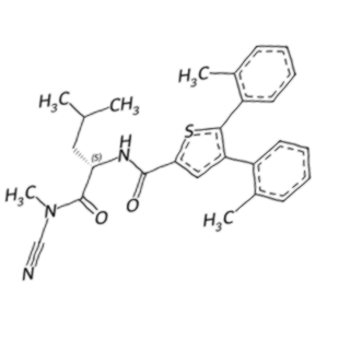 Cc1ccccc1-c1cc(C(=O)N[C@@H](CC(C)C)C(=O)N(C)C#N)sc1-c1ccccc1C